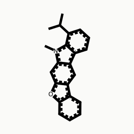 CC(C)c1cccc2c3cc4c(cc3n(C)c12)oc1ccccc14